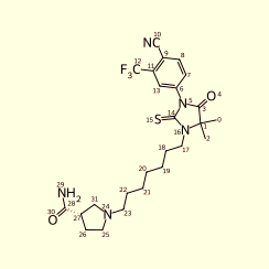 CC1(C)C(=O)N(c2ccc(C#N)c(C(F)(F)F)c2)C(=S)N1CCCCCCCN1CC[C@H](C(N)=O)C1